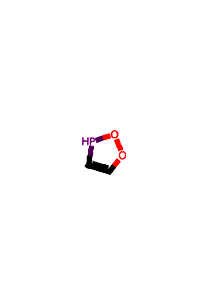 [C]1=COOP1